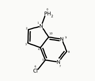 Pn1ccc2c(Cl)ncnc21